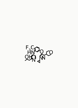 CC(O)Cc1cc(Nc2cc(Oc3cn(C4CC4)nc3C3CCOCC3)ccc2C(F)(F)F)ccn1